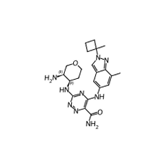 Cc1cc(Nc2nc(N[C@@H]3CCOC[C@@H]3N)nnc2C(N)=O)cc2cn(C3(C)CCC3)nc12